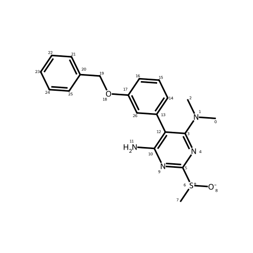 CN(C)c1nc([S+](C)[O-])nc(N)c1-c1cccc(OCc2ccccc2)c1